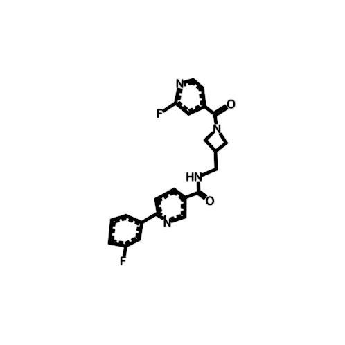 O=C(NCC1CN(C(=O)c2ccnc(F)c2)C1)c1ccc(-c2cccc(F)c2)nc1